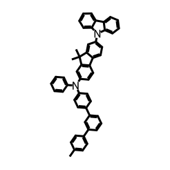 Cc1ccc(-c2cccc(-c3ccc(N(c4ccccc4)c4ccc5c(c4)C(C)(C)c4cc(-n6c7ccccc7c7ccccc76)ccc4-5)cc3)c2)cc1